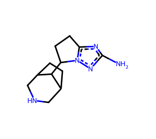 Nc1nc2n(n1)C(C1C3CCC1CNC3)CC2